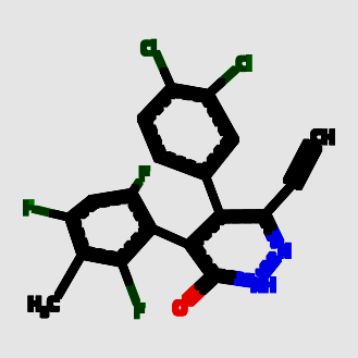 C#Cc1n[nH]c(=O)c(-c2c(F)cc(F)c(C)c2F)c1-c1ccc(Cl)c(Cl)c1